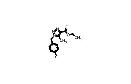 CCOC(=O)c1nnn(Cc2ccc(Cl)cc2)c1C